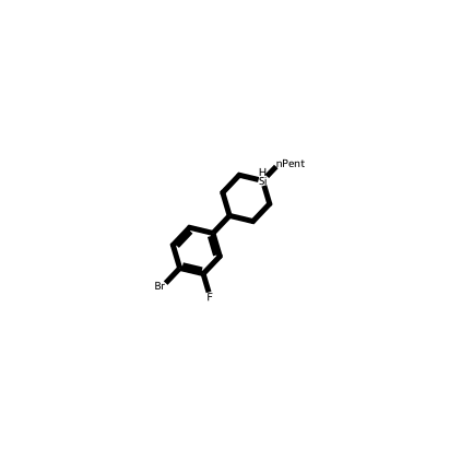 CCCCC[SiH]1CCC(c2ccc(Br)c(F)c2)CC1